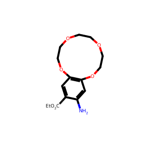 CCOC(=O)c1cc2c(cc1N)OCCOCCOCCO2